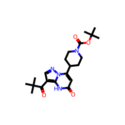 CC(C)(C)OC(=O)N1CCC(c2cc(=O)[nH]c3c(C(=O)C(C)(C)C)cnn23)CC1